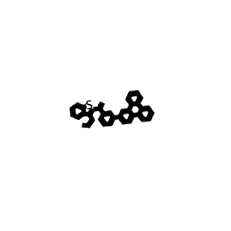 C=C(c1cccc(-c2ccc3c4ccccc4c4ccccc4c3c2)c1)c1sc2ccccc2c1/C=C\C